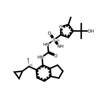 Cc1oc([S@](=N)(=O)NC(=O)Nc2c([C@@H](C)C3CC3)ccc3c2CCC3)cc1C(C)(C)O